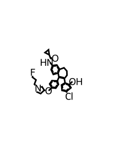 O=C(Nc1ccc2c(c1)CCCC(c1ccc(Cl)cc1O)=C2c1ccc(OC2CCN(CCCF)C2)cc1)C1CC1